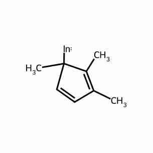 CC1=C(C)[C](C)([In])C=C1